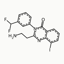 NCCc1nc2c(I)cccc2c(=O)n1-c1cccc(C(F)F)c1